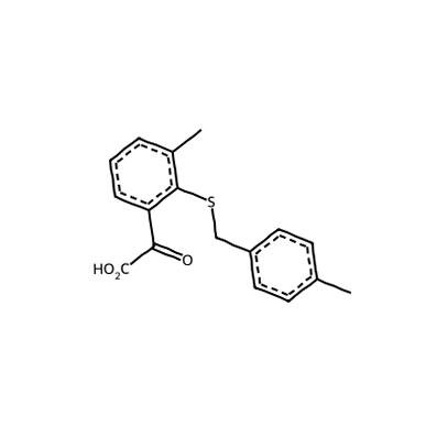 Cc1ccc(CSc2c(C)cccc2C(=O)C(=O)O)cc1